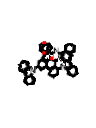 c1ccc(-c2nc(-c3ccccc3)nc(-c3c(-c4cc(-n5c6ccccc6c6ccccc65)cc5c4sc4ccccc45)cccc3-n3c4ccccc4c4ccccc43)n2)cc1